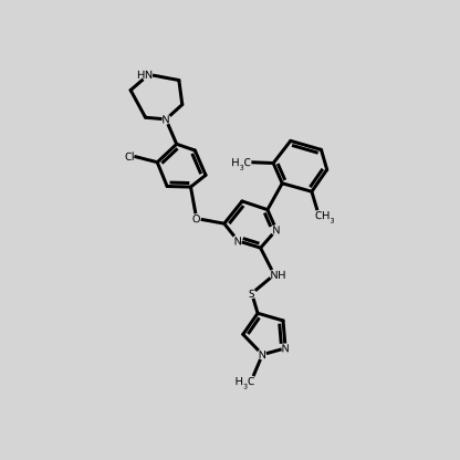 Cc1cccc(C)c1-c1cc(Oc2ccc(N3CCNCC3)c(Cl)c2)nc(NSc2cnn(C)c2)n1